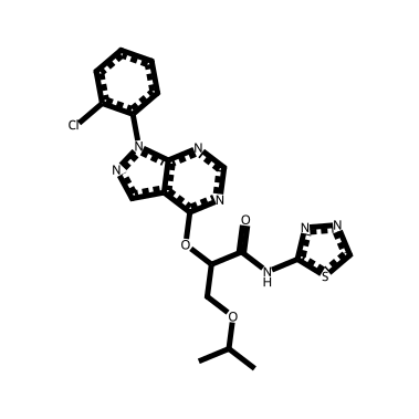 CC(C)OCC(Oc1ncnc2c1cnn2-c1ccccc1Cl)C(=O)Nc1nncs1